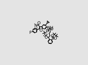 CNC(=O)c1c(-c2ccc(F)cc2)oc2cc(NS(=O)(=O)CCCC(O[Si](C)(C)C(C)(C)C)c3ccccc3B3OC(C)(C)C(C)(C)O3)c(C3CC3)cc12